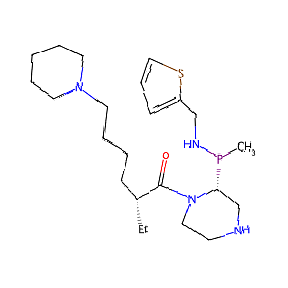 CC[C@H](CCCCN1CCCCC1)C(=O)N1CCNC[C@H]1P(C)NCc1cccs1